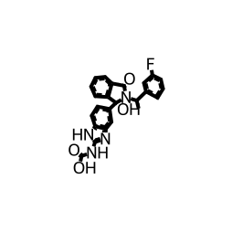 CC(c1cccc(F)c1)N1C(=O)c2ccccc2C1(O)c1ccc2[nH]c(NC(=O)O)nc2c1